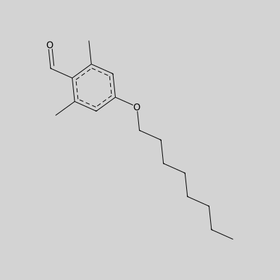 CCCCCCCCOc1cc(C)c(C=O)c(C)c1